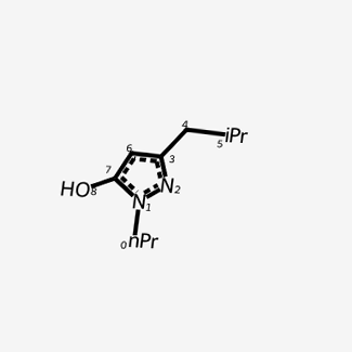 CCCn1nc(CC(C)C)cc1O